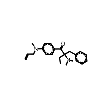 C=CCN(C)c1ccc(C(=O)C(CC)(Cc2ccccc2)N(C)C)cc1